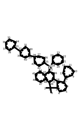 CC1(C)c2cccc(-c3ccccc3)c2-c2cc(N(c3ccccc3)c3ccc(-c4ccc(-c5ccccc5)cc4)cc3)c3ccccc3c21